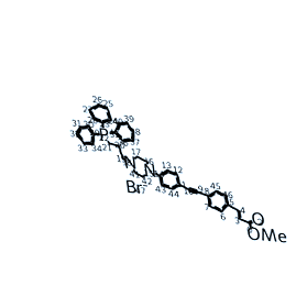 COC(=O)/C=C/c1ccc(C#Cc2ccc(N3CCN(CCC[P+](c4ccccc4)(c4ccccc4)c4ccccc4)CC3)cc2)cc1.[Br-]